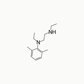 CCNCCN(CC)c1c(C)cccc1C